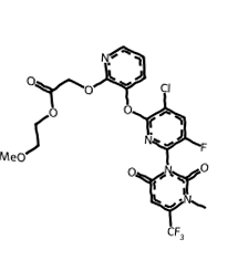 COCCOC(=O)COc1ncccc1Oc1nc(-n2c(=O)cc(C(F)(F)F)n(C)c2=O)c(F)cc1Cl